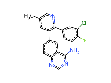 Cc1cnc(-c2ccc(F)c(Cl)c2)c(-c2ccc3ncnc(N)c3c2)c1